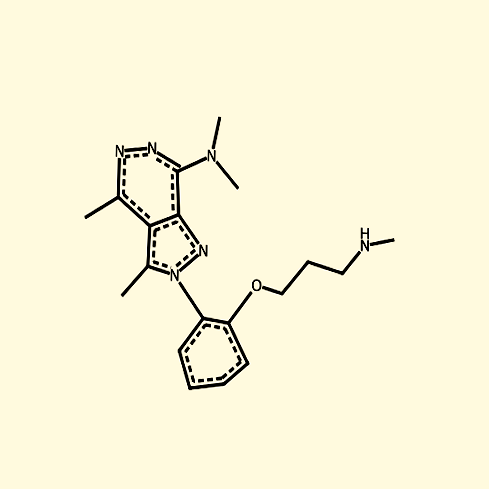 CNCCCOc1ccccc1-n1nc2c(N(C)C)nnc(C)c2c1C